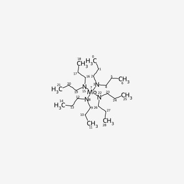 CCC[N](CCC)[Mo]([N](CCC)CCC)([N](CCC)CCC)[N](CCC)CCC